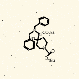 CCOC(=O)[C@@H](N(Cc1ccccc1)Cc1ccccc1)C1(O)CCN(C(=O)OC(C)(C)C)CC1